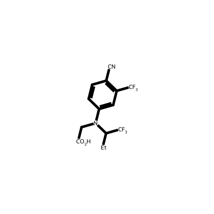 CCC(N(CC(=O)O)c1ccc(C#N)c(C(F)(F)F)c1)C(F)(F)F